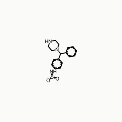 N=S(=O)=O.c1ccc(C(c2ccccc2)N2CCNCC2)cc1